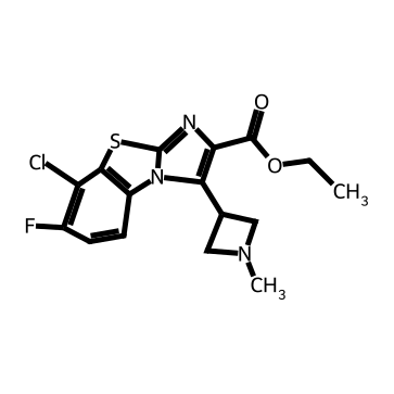 CCOC(=O)c1nc2sc3c(Cl)c(F)ccc3n2c1C1CN(C)C1